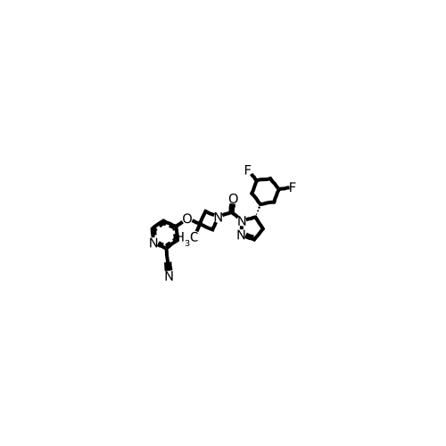 CC1(Oc2ccnc(C#N)c2)CN(C(=O)N2N=CC[C@H]2C2CC(F)CC(F)C2)C1